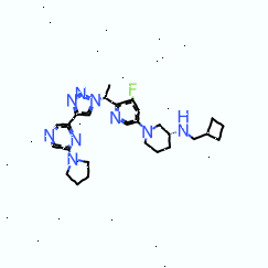 CC(c1ncc(N2CCC[C@@H](NCC3CCC3)C2)cc1F)n1cc(-c2cncc(N3CCCC3)n2)nn1